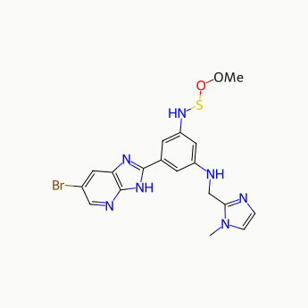 COOSNc1cc(NCc2nccn2C)cc(-c2nc3cc(Br)cnc3[nH]2)c1